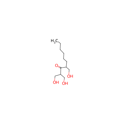 CCCCCCC(CO)C(=O)C(CO)CO